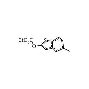 CCOC(=O)Oc1cc2cc(C)ccc2s1